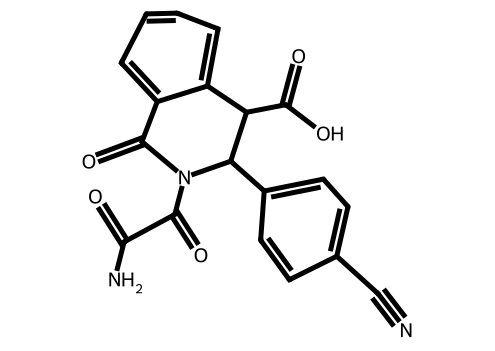 N#Cc1ccc(C2C(C(=O)O)c3ccccc3C(=O)N2C(=O)C(N)=O)cc1